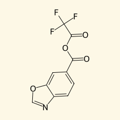 O=C(OC(=O)C(F)(F)F)c1ccc2ncoc2c1